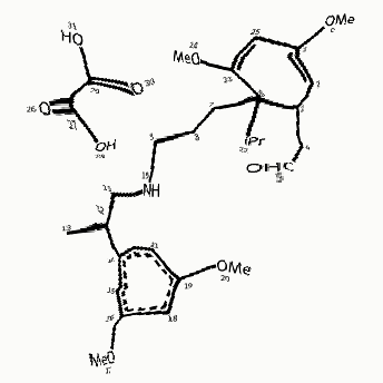 COC1=CC(CC=O)C(CCCNCC(C)c2cc(OC)cc(OC)c2)(C(C)C)C(OC)=C1.O=C(O)C(=O)O